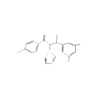 CC(c1cc(Cl)cc(Cl)c1)C(C(=O)c1ccc(Cl)cc1)n1cncn1